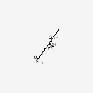 CCC(=O)O.CCCCCNC(=O)CCCCCCCCCCCC(N)=O